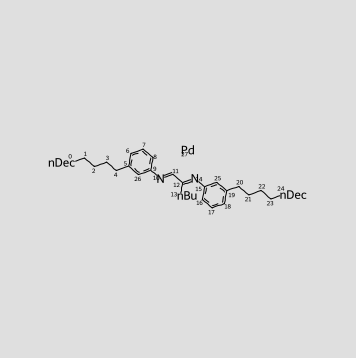 CCCCCCCCCCCCCCc1cccc(/N=C/C(CCCC)=N/c2cccc(CCCCCCCCCCCCCC)c2)c1.[Pd]